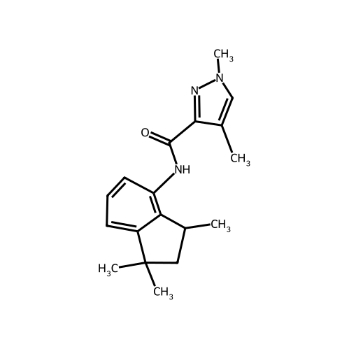 Cc1cn(C)nc1C(=O)Nc1cccc2c1C(C)CC2(C)C